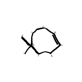 CC1(C)CCC=CCC1